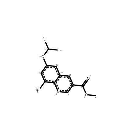 COC(=O)c1cnc2c(Br)cc(OC(F)F)cc2c1